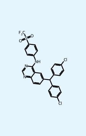 O=S(=O)(c1ccc(Nc2ncnc3ccc(C(c4ccc(Cl)cc4)c4ccc(Cl)cc4)cc23)cc1)C(F)(F)F